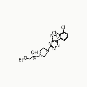 CCOC[C@H](O)CN1CCN(c2nnc(-c3cccc(Cl)c3Cl)c(N)n2)CC1